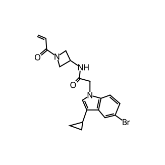 C=CC(=O)N1CC(NC(=O)Cn2cc(C3CC3)c3cc(Br)ccc32)C1